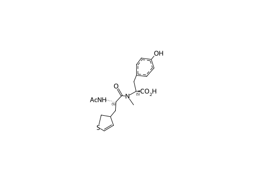 CC(=O)N[C@@H](CC1C=CSC1)C(=O)N(C)[C@@H](Cc1ccc(O)cc1)C(=O)O